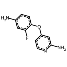 Nc1ccc(Oc2ccnc(N)c2)c(F)c1